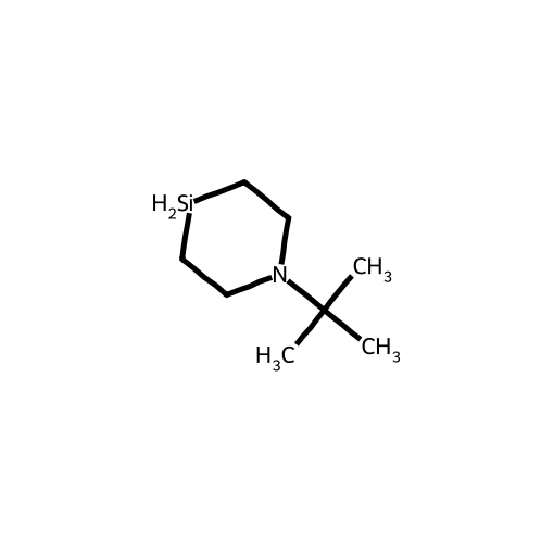 CC(C)(C)N1CC[SiH2]CC1